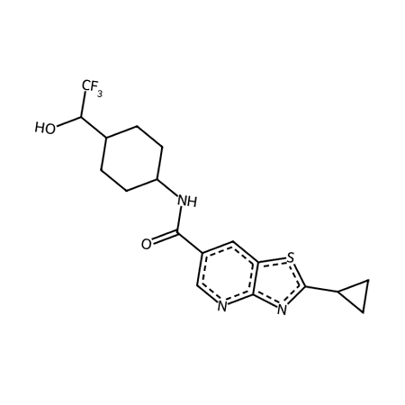 O=C(NC1CCC(C(O)C(F)(F)F)CC1)c1cnc2nc(C3CC3)sc2c1